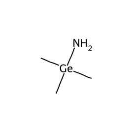 [CH3][Ge]([CH3])([CH3])[NH2]